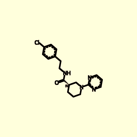 O=C(NCCc1ccc(Cl)cc1)[C@H]1CCCN(c2ncccn2)C1